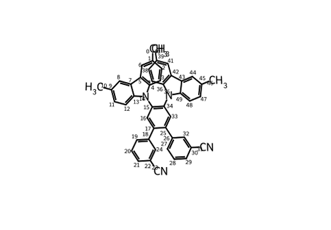 Cc1ccc2c(c1)c1cc(C)ccc1n2-c1cc(-c2cccc(C#N)c2)c(-c2cccc(C#N)c2)cc1-n1c2ccc(C)cc2c2cc(C)ccc21